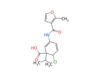 Cc1occc1C(=O)NC1=CC(C(=O)O)(C(C)C)C(Cl)C=C1